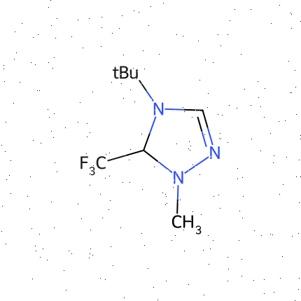 CN1N=CN(C(C)(C)C)C1C(F)(F)F